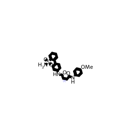 COc1ccc(NC(=O)/C=C\C(=O)Nc2ccc(-c3ccccc3S(N)(=O)=O)cc2)cc1